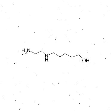 NCCNCCCCCO